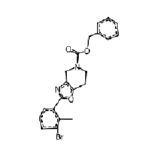 Cc1c(Br)cccc1-c1nc2c(o1)CCN(C(=O)OCc1ccccc1)C2